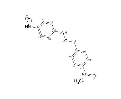 CNc1ccc(NOCc2ccc(C(C)=O)cc2)cc1